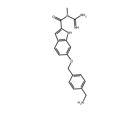 CN(C(=N)N)C(=O)c1cc2ccc(OCc3ccc(CN)cc3)cc2[nH]1